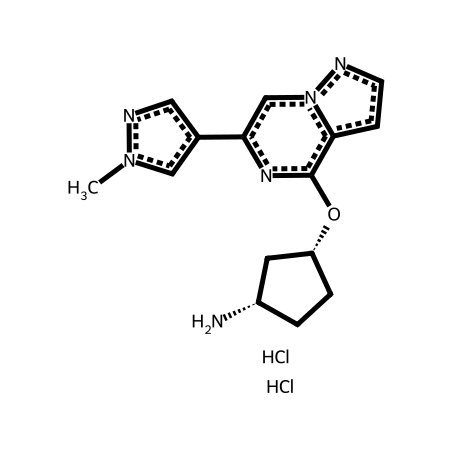 Cl.Cl.Cn1cc(-c2cn3nccc3c(O[C@@H]3CC[C@H](N)C3)n2)cn1